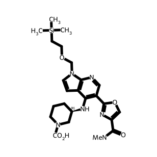 CNC(=O)c1coc(-c2cnc3c(ccn3COCC[Si](C)(C)C)c2N[C@@H]2CCCN(C(=O)O)C2)n1